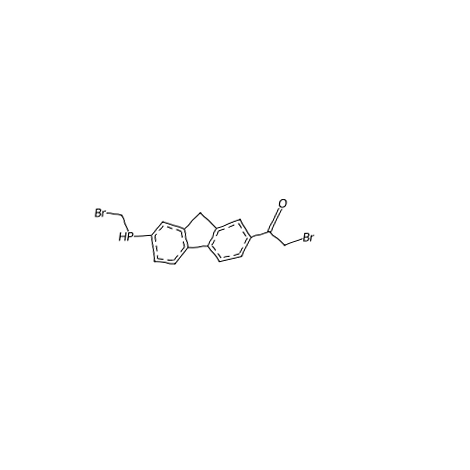 O=C(CBr)c1ccc2c(c1)Cc1cc(PCBr)ccc1-2